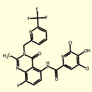 Cc1nc2c(F)ccc(NC(=O)c3cc(Cl)c(O)c(Cl)n3)c2c(=O)n1Cc1cccc(C(F)(F)F)n1